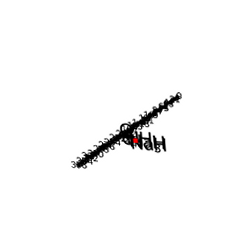 CCCCCCCCCCCCCCCCCCOC(=O)CCCCCCCCCCCCCCCCC.N.[NaH].[NaH]